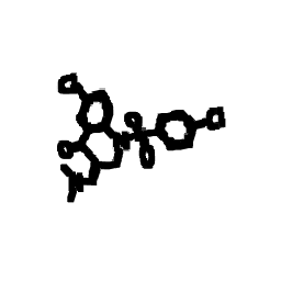 CN(C)/C=C1/CN(S(=O)(=O)c2ccc(Cl)cc2)c2ccc(Cl)cc2C1=O